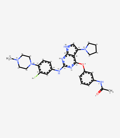 CC(=O)Nc1cccc(Oc2nc(Nc3ccc(N4CCN(C)CC4)c(F)c3)nc3[nH]cc(N4CCCC4)c23)c1